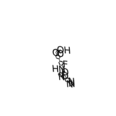 CC(Oc1ccc(-c2ccc(CNC(=O)c3cccnc3Oc3ccc4nn(C)nc4c3)c(F)c2)cc1)C(=O)O